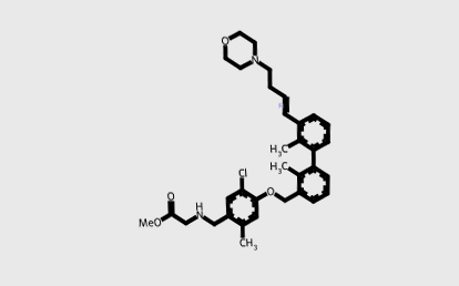 COC(=O)CNCc1cc(Cl)c(OCc2cccc(-c3cccc(/C=C/CCN4CCOCC4)c3C)c2C)cc1C